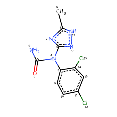 Cc1nc(N(C(N)=O)c2ccc(Cl)cc2Cl)n[nH]1